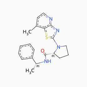 Cc1ccnc2nc(N3CCC[C@@H]3C(=O)N[C@H](C)c3ccccc3)sc12